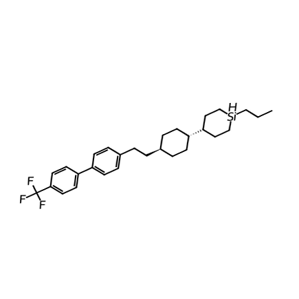 CCC[SiH]1CCC([C@H]2CC[C@H](CCc3ccc(-c4ccc(C(F)(F)F)cc4)cc3)CC2)CC1